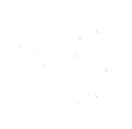 COc1cc2ncnc(Nc3ccc(OCc4ccccn4)c(Cl)c3)c2cc1NC(=O)[C@@H]1CCCN1C(=O)O